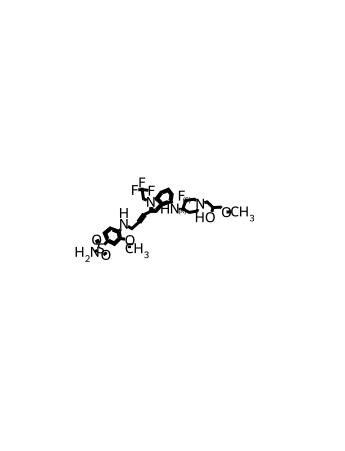 COCC(O)CN1CC[C@@H](Nc2cccc3c2cc(C#CCNc2ccc(S(N)(=O)=O)cc2OC)n3CC(F)(F)F)[C@@H](F)C1